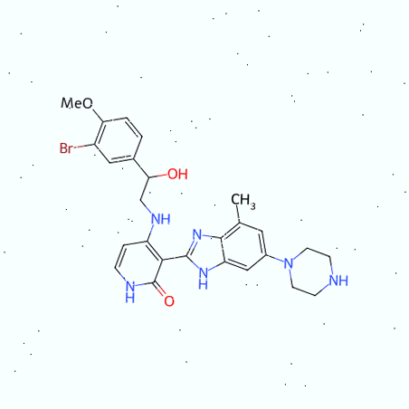 COc1ccc(C(O)CNc2cc[nH]c(=O)c2-c2nc3c(C)cc(N4CCNCC4)cc3[nH]2)cc1Br